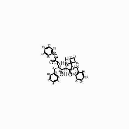 O=C(N[C@@H](Cc1ccccc1)[C@H](O)[C@@H]1NC2(CCC2)N(Cc2ccccc2)C1=O)Oc1ccccc1